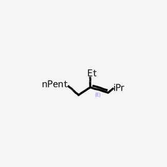 CCCCCC/C(=C/C(C)C)CC